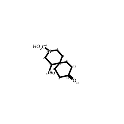 CC(C)(C)C1CN(C(=O)O)CCC12CCC(=O)CC2